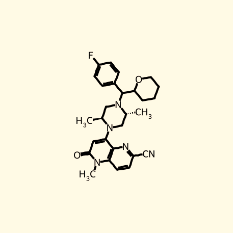 C[C@@H]1CN(c2cc(=O)n(C)c3ccc(C#N)nc23)[C@@H](C)CN1C(c1ccc(F)cc1)C1CCCCO1